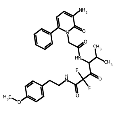 COc1ccc(CCNC(=O)C(F)(F)C(=O)C(NC(=O)Cn2c(-c3ccccc3)ccc(N)c2=O)C(C)C)cc1